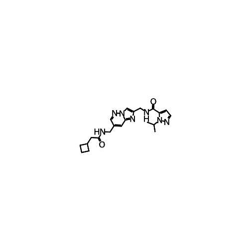 CC(C)n1nccc1C(=O)NCc1cn2ncc(CNC(=O)CC3CCC3)cc2n1